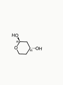 O[C@@H]1CCO[C@@H](O)C1